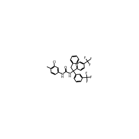 Cc1ccc(NC(=O)NC(Cc2ccccc2)(c2cccc(C(F)(F)F)c2)c2ccc(C(F)(F)F)cn2)cc1Cl